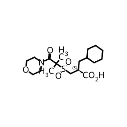 CC(C)(C(=O)N1CCOCC1)S(=O)(=O)C[C@@H](CC1CCCCC1)C(=O)O